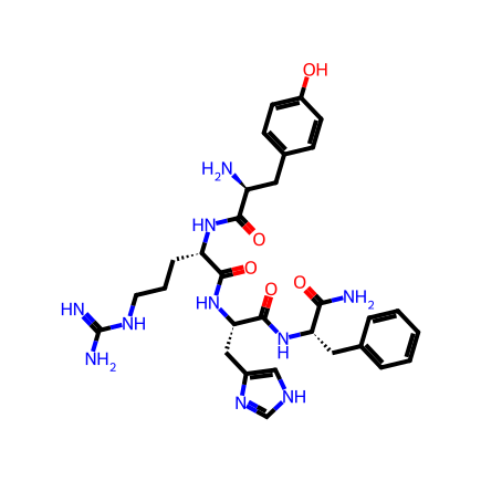 N=C(N)NCCC[C@H](NC(=O)[C@@H](N)Cc1ccc(O)cc1)C(=O)N[C@@H](Cc1c[nH]cn1)C(=O)N[C@@H](Cc1ccccc1)C(N)=O